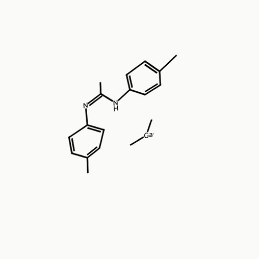 CC(=Nc1ccc(C)cc1)Nc1ccc(C)cc1.[CH3][Ga][CH3]